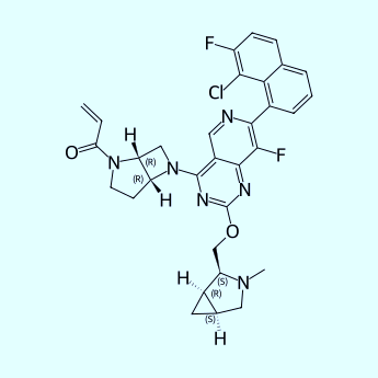 C=CC(=O)N1CC[C@@H]2[C@H]1CN2c1nc(OC[C@@H]2[C@@H]3C[C@@H]3CN2C)nc2c(F)c(-c3cccc4ccc(F)c(Cl)c34)ncc12